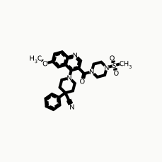 COc1ccc2ncc(C(=O)N3CCN(S(C)(=O)=O)CC3)c(N3CCC(C#N)(c4ccccc4)CC3)c2c1